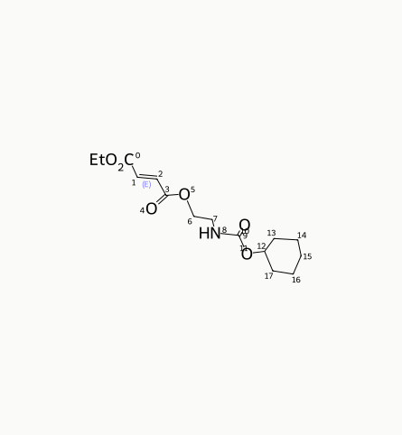 CCOC(=O)/C=C/C(=O)OCCNC(=O)OC1CCCCC1